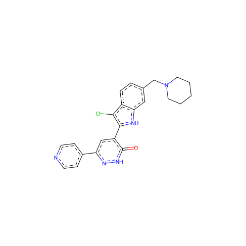 O=c1[nH]nc(-c2ccncc2)cc1-c1[nH]c2cc(CN3CCCCC3)ccc2c1Cl